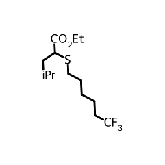 CCOC(=O)C(CC(C)C)SCCCCCC(F)(F)F